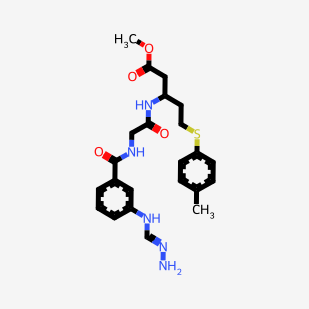 COC(=O)CC(CCSc1ccc(C)cc1)NC(=O)CNC(=O)c1cccc(NC=NN)c1